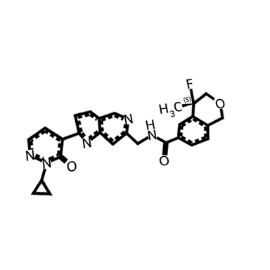 C[C@@]1(F)COCc2ccc(C(=O)NCc3cc4nc(-c5ccnn(C6CC6)c5=O)ccc4cn3)cc21